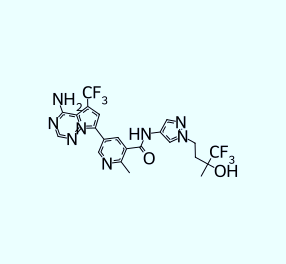 Cc1ncc(-c2cc(C(F)(F)F)c3c(N)ncnn23)cc1C(=O)Nc1cnn(CCC(C)(O)C(F)(F)F)c1